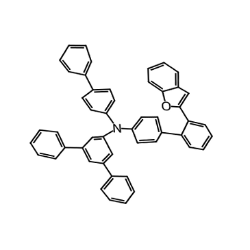 c1ccc(-c2ccc(N(c3ccc(-c4ccccc4-c4cc5ccccc5o4)cc3)c3cc(-c4ccccc4)cc(-c4ccccc4)c3)cc2)cc1